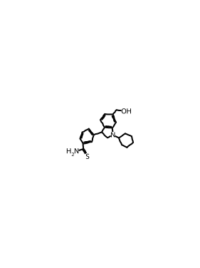 NC(=S)c1cccc(C2CN(C3CCCCC3)c3cc(CO)ccc32)c1